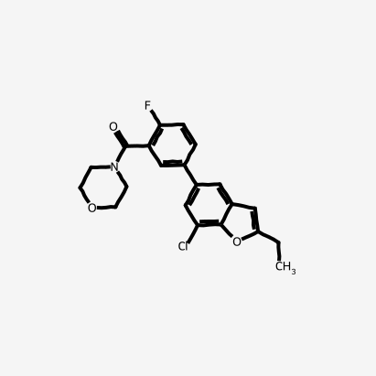 CCc1cc2cc(-c3ccc(F)c(C(=O)N4CCOCC4)c3)cc(Cl)c2o1